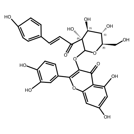 O=C(C=Cc1ccc(O)cc1)[C@]1(O)C(Oc2c(-c3ccc(O)c(O)c3)oc3cc(O)cc(O)c3c2=O)O[C@H](CO)[C@@H](O)[C@@H]1O